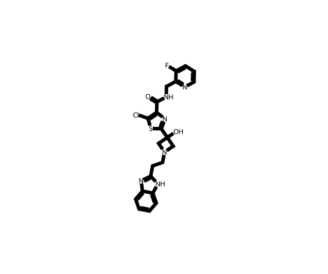 O=C(NCc1ncccc1F)c1nc(C2(O)CN(CCc3nc4ccccc4[nH]3)C2)sc1Cl